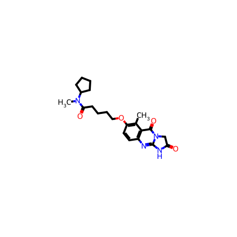 Cc1c(OCCCCC(=O)N(C)C2CCCC2)ccc2nc3n(c(=O)c12)CC(=O)N3